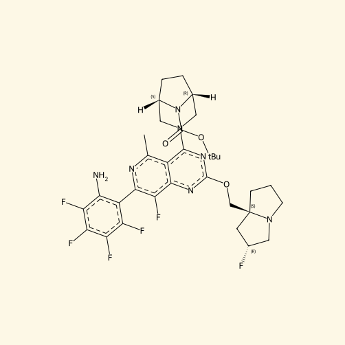 Cc1nc(-c2c(N)c(F)c(F)c(F)c2F)c(F)c2nc(OC[C@@]34CCCN3C[C@H](F)C4)nc(N3C[C@H]4CC[C@@H](C3)N4C(=O)OC(C)(C)C)c12